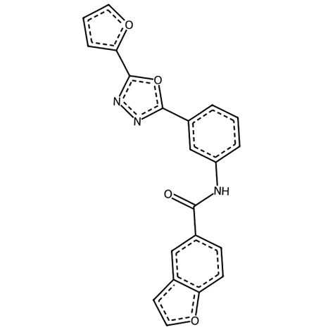 O=C(Nc1cccc(-c2nnc(-c3ccco3)o2)c1)c1ccc2occc2c1